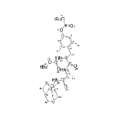 Cc1cc(OC(=O)OCC(C)C)cc(C)c1CC(NC(=O)OC(C)(C)C)C(=O)N[C@H](C)C(=O)NC1C2CC3CC(C2)CC1C3